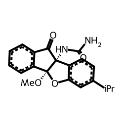 CO[C@@]12Oc3cc(C(C)C)ccc3[C@]1(NC(N)=O)C(=O)c1ccccc12